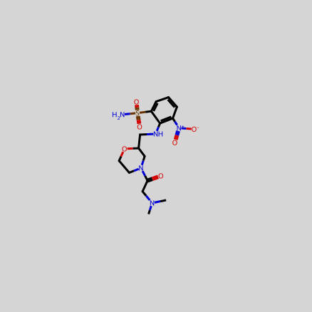 CN(C)CC(=O)N1CCOC(CNc2c([N+](=O)[O-])cccc2S(N)(=O)=O)C1